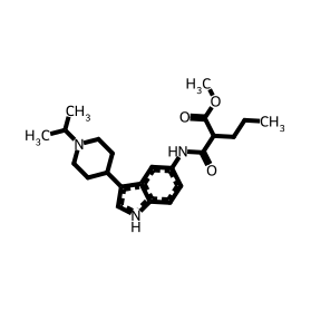 CCCC(C(=O)Nc1ccc2[nH]cc(C3CCN(C(C)C)CC3)c2c1)C(=O)OC